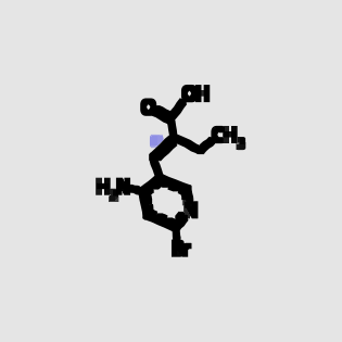 CC/C(=C\c1cnc(Br)cc1N)C(=O)O